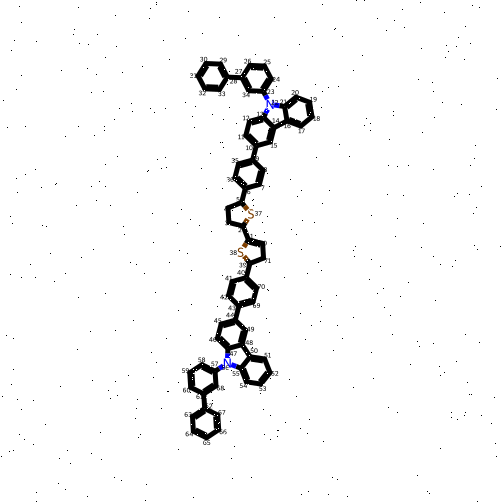 C1=C(C2CCC(c3ccc(-c4ccc5c(c4)c4ccccc4n5-c4cccc(-c5ccccc5)c4)cc3)S2)SC(c2ccc(-c3ccc4c(c3)c3ccccc3n4-c3cccc(-c4ccccc4)c3)cc2)C1